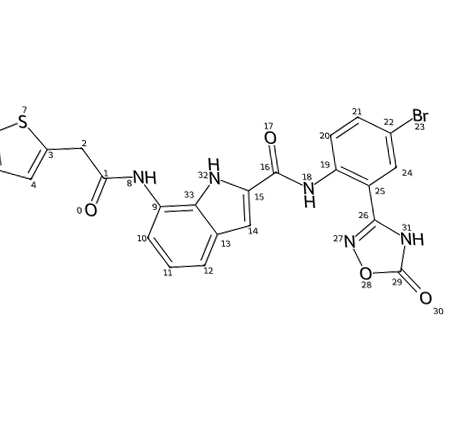 O=C(Cc1cccs1)Nc1cccc2cc(C(=O)Nc3ccc(Br)cc3-c3noc(=O)[nH]3)[nH]c12